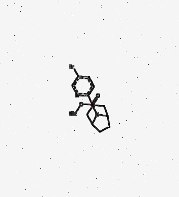 CC(C)(C)OC(=O)N1C2CCC1CN(c1ccc(Br)cn1)C2